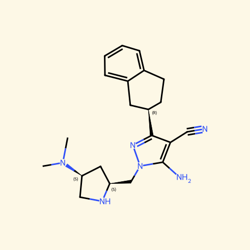 CN(C)[C@@H]1CN[C@H](Cn2nc([C@@H]3CCc4ccccc4C3)c(C#N)c2N)C1